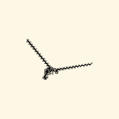 CCCCCCCCCCCCCCCCCCCCCC=CC(=O)OC[C@H](COP(=O)(O)OCC[N+](C)(C)C)OC(=O)C=CCCCCCCCCCCCCCCCCCCCCC